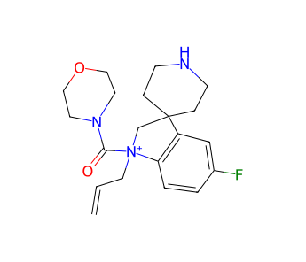 C=CC[N+]1(C(=O)N2CCOCC2)CC2(CCNCC2)c2cc(F)ccc21